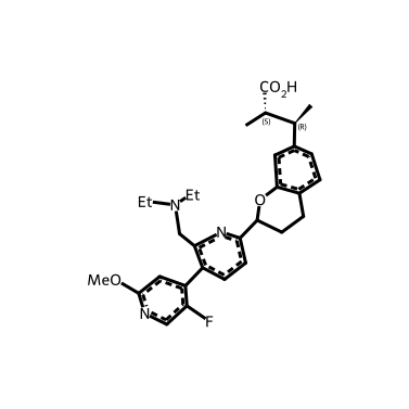 CCN(CC)Cc1nc(C2CCc3ccc([C@H](C)[C@H](C)C(=O)O)cc3O2)ccc1-c1cc(OC)ncc1F